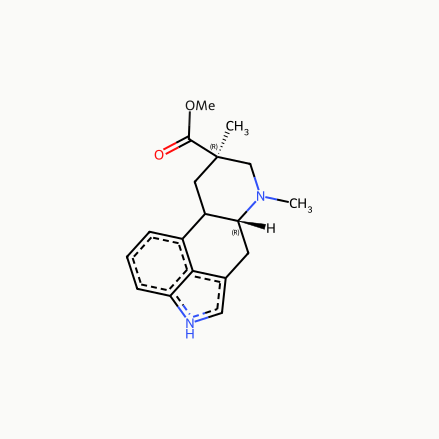 COC(=O)[C@]1(C)CC2c3cccc4[nH]cc(c34)C[C@H]2N(C)C1